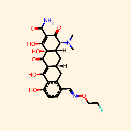 CN(C)[C@@H]1C(=O)C(C(N)=O)=C(O)[C@@]2(O)C(=O)C3=C(O)c4c(O)ccc(C=NOCCF)c4C[C@H]3C[C@@H]12